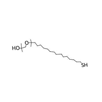 CC(C)(O)COC(C)(C)CCCCCCCCCCCCCCCS